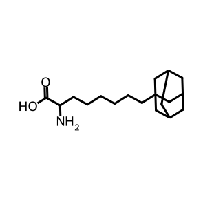 NC(CCCCCCC12CC3CC(CC(C3)C1)C2)C(=O)O